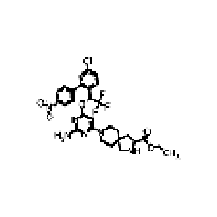 CCOC(=O)C1CC2(CCN(c3cc(O[C@H](c4ccc(Cl)cc4-c4ccc([N+](=O)[O-])cc4)C(F)(F)F)nc(N)n3)CC2)CN1